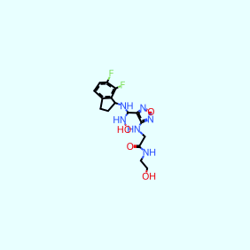 O=C(CNc1nonc1C(NO)NC1CCc2ccc(F)c(F)c21)NCCO